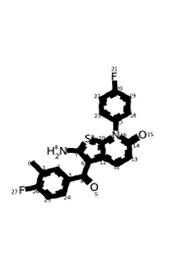 Cc1cc(C(=O)c2c(N)sc3c2ccc(=O)n3-c2ccc(F)cc2)ccc1F